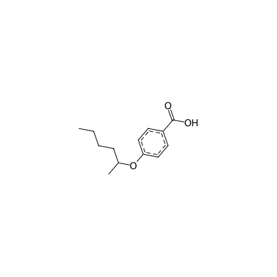 CCCCC(C)Oc1ccc(C(=O)O)cc1